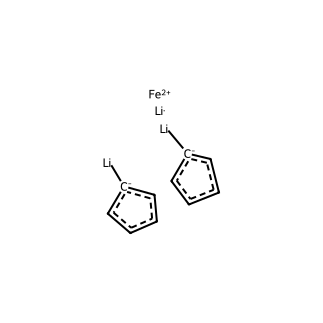 [Fe+2].[Li].[Li][c-]1cccc1.[Li][c-]1cccc1